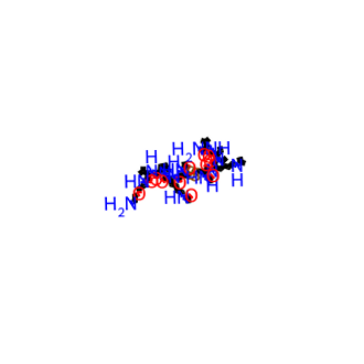 C=C(C)NCCCCC(NC(=O)C(CSSCC(NC(C)=O)C(=O)NC(CCCCNC(C)=O)C(=O)N1CCCC1C(=O)NC(C(=O)NCCOCCN)C(C)C)NC(C)=O)C(=O)N(CC)C(CC)C(=O)NC(C(N)=O)C(C)C